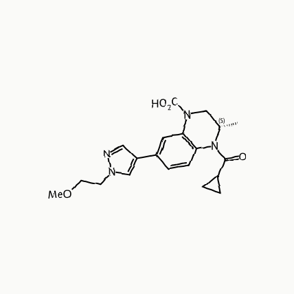 COCCn1cc(-c2ccc3c(c2)N(C(=O)O)C[C@H](C)N3C(=O)C2CC2)cn1